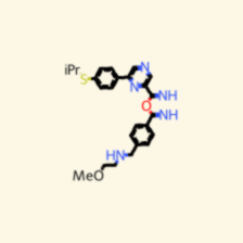 COCCNCc1ccc(C(=N)OC(=N)c2cncc(-c3ccc(SC(C)C)cc3)n2)cc1